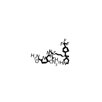 Cc1ccc(C(N)=O)nc1-c1nnc(SCCC[C@]2(c3ccc(C(F)(F)F)cc3)C[C@]23CCNC3)n1C